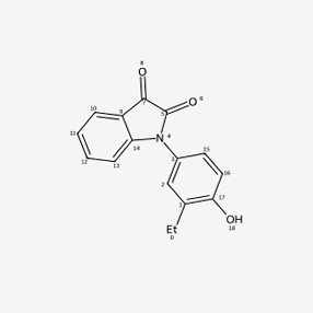 CCc1cc(N2C(=O)C(=O)c3ccccc32)ccc1O